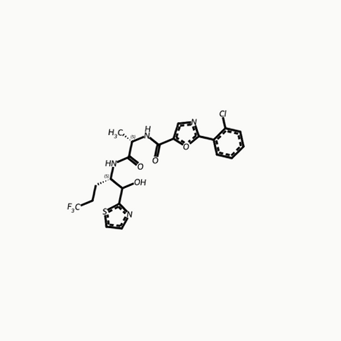 C[C@H](NC(=O)c1cnc(-c2ccccc2Cl)o1)C(=O)N[C@@H](CCC(F)(F)F)C(O)c1nccs1